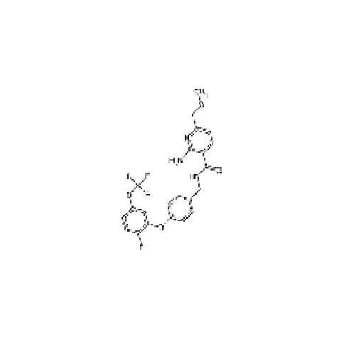 COCc1ccc(C(=O)NCc2ccc(Oc3cc(OC(F)(F)F)ccc3F)cc2)c(N)n1